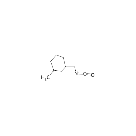 C[C]1CCCC(CN=C=O)C1